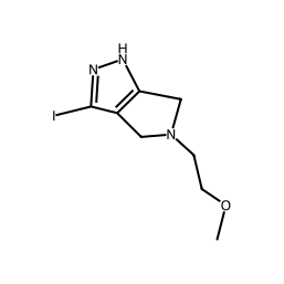 COCCN1Cc2[nH]nc(I)c2C1